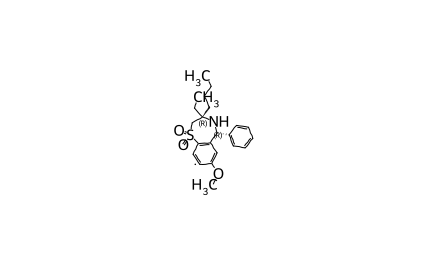 CCCC[C@]1(CC)CS(=O)(=O)c2c[c]c(OC)cc2[C@@H](c2ccccc2)N1